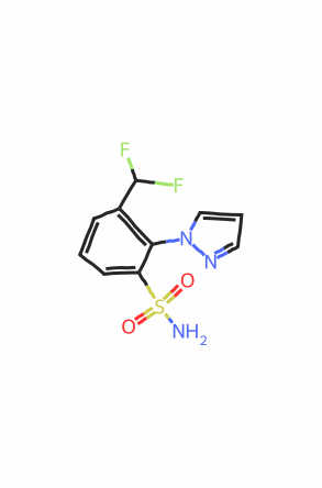 NS(=O)(=O)c1cccc(C(F)F)c1-n1cccn1